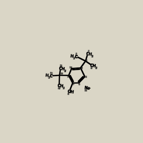 CC(C)(C)c1ccc(O)c(C(C)(C)C)c1.[Na]